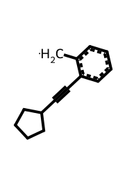 [CH2]c1ccccc1C#CC1CCCC1